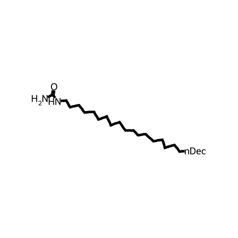 CCCCCCCCCCCCCCCCCCCCCCCCCCCCNC(N)=O